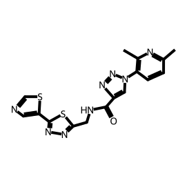 Cc1ccc(-n2cc(C(=O)NCc3nnc(-c4cncs4)s3)nn2)c(C)n1